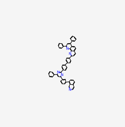 c1ccc(-c2cc(-c3cccc(-c4cccc5ccncc45)c3)nc(-c3ccc(-c4ccc(-c5ccc6ccc7c(-c8ccccc8)cc(-c8ccccc8)nc7c6n5)cc4)cc3)n2)cc1